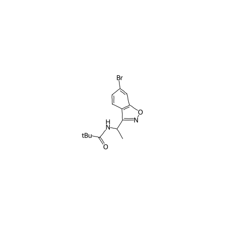 CC(NC(=O)C(C)(C)C)c1noc2cc(Br)ccc12